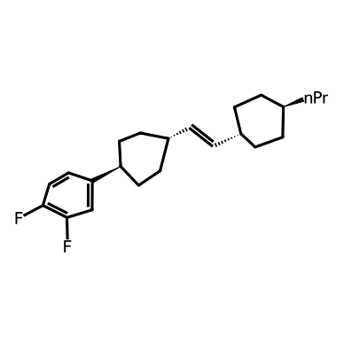 CCC[C@H]1CC[C@H](/C=C/[C@H]2CC[C@H](c3ccc(F)c(F)c3)CC2)CC1